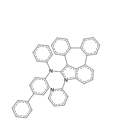 c1ccc(-c2ccc(N(c3ccccc3)c3c4c5c(cccc5n3-c3ccccn3)-c3ccccc3-c3ccccc3-4)cc2)cc1